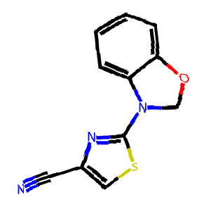 N#Cc1csc(N2COc3ccccc32)n1